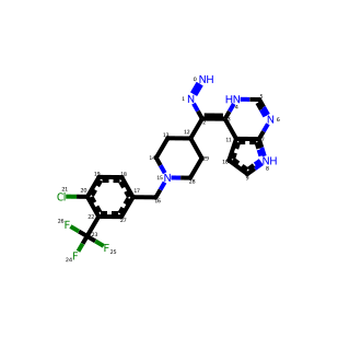 N=N/C(=C1\NC=Nc2[nH]ccc21)C1CCN(Cc2ccc(Cl)c(C(F)(F)F)c2)CC1